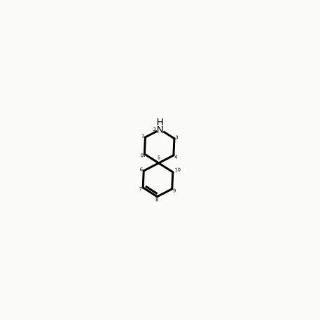 [CH]1CNCCC12CC=CCC2